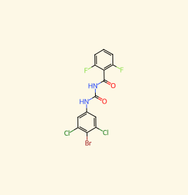 O=C(NC(=O)c1c(F)cccc1F)Nc1cc(Cl)c(Br)c(Cl)c1